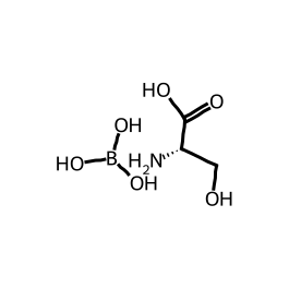 N[C@@H](CO)C(=O)O.OB(O)O